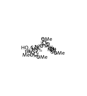 COc1ccc(C(N(C(=O)O)c2nc(COc3cc(OC)cc4oc(-c5cn6nc(OC)sc6n5)cc34)c(C)s2)C(C)(C)C)c(OC)c1